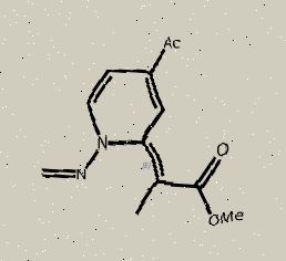 C=NN1C=CC(C(C)=O)=C/C1=C(/C)C(=O)OC